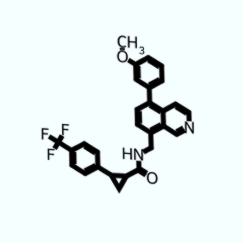 COc1cccc(-c2ccc(CNC(=O)C3CC3c3ccc(C(F)(F)F)cc3)c3cnccc23)c1